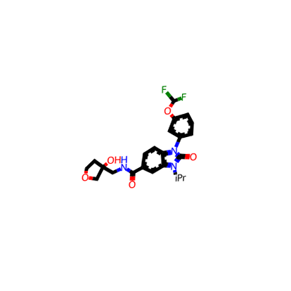 CC(C)n1c(=O)n(-c2cccc(OC(F)F)c2)c2ccc(C(=O)NCC3(O)CCOC3)cc21